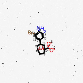 COC(OC)C12CCC(CC(c3ccc(N)c(Br)c3)C1)O2